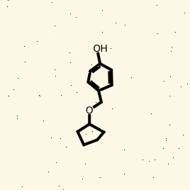 Oc1ccc(COC2CCCC2)cc1